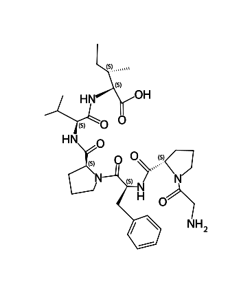 CC[C@H](C)[C@H](NC(=O)[C@@H](NC(=O)[C@@H]1CCCN1C(=O)[C@H](Cc1ccccc1)NC(=O)[C@@H]1CCCN1C(=O)CN)C(C)C)C(=O)O